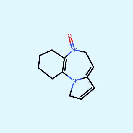 O=[N+]1CC=C2C=CCN2C2=C1CCCC2